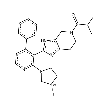 CC(C)C(=O)N1CCc2nc(-c3c(-c4ccccc4)ccnc3N3CC[C@H](F)C3)[nH]c2C1